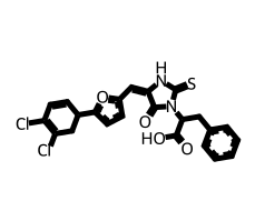 O=C(O)C(Cc1ccccc1)N1C(=O)/C(=C\c2ccc(C3C=CC(Cl)=C(Cl)C3)o2)NC1=S